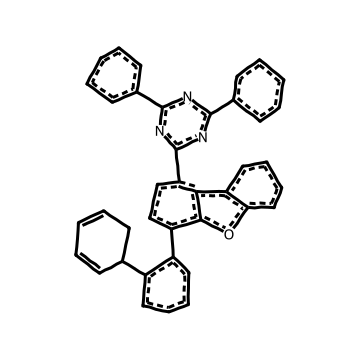 C1=CCC(c2ccccc2-c2ccc(-c3nc(-c4ccccc4)nc(-c4ccccc4)n3)c3c2oc2ccccc23)C=C1